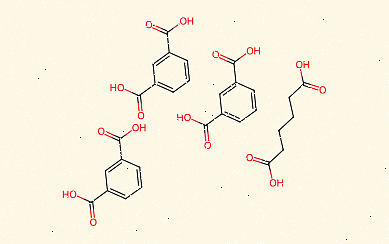 O=C(O)CCCCC(=O)O.O=C(O)c1cccc(C(=O)O)c1.O=C(O)c1cccc(C(=O)O)c1.O=C(O)c1cccc(C(=O)O)c1